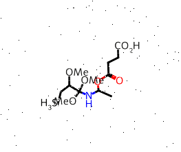 COC(C[SiH3])C(NC(C)OC(=O)CCC(=O)O)(OC)OC